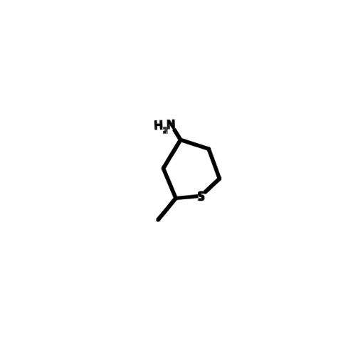 CC1CC(N)CCS1